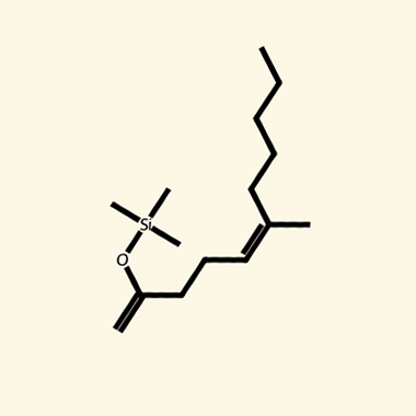 C=C(CCC=C(C)CCCCC)O[Si](C)(C)C